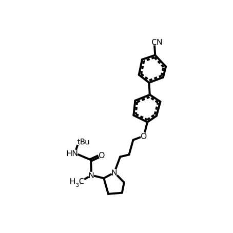 CN(C(=O)NC(C)(C)C)C1CCCN1CCCOc1ccc(-c2ccc(C#N)cc2)cc1